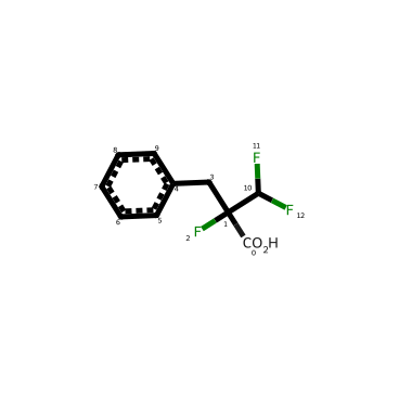 O=C(O)C(F)(Cc1ccccc1)C(F)F